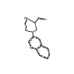 O=CC1CN(c2cnc3ccccc3c2)CCN1